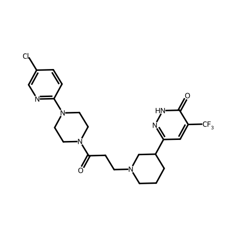 O=C(CCN1CCCC(c2cc(C(F)(F)F)c(=O)[nH]n2)C1)N1CCN(c2ccc(Cl)cn2)CC1